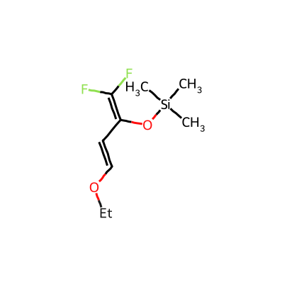 CCOC=CC(O[Si](C)(C)C)=C(F)F